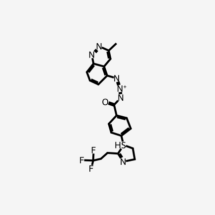 Cc1cc2c(N=[N+]=NC(=O)c3ccc([SH]4CCN=C4CCC(F)(F)F)cc3)cccc2nn1